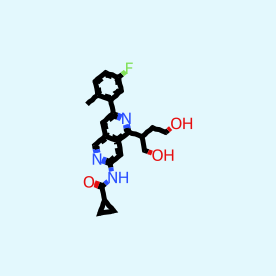 Cc1ccc(F)cc1-c1cc2cnc(NC(=O)C3CC3)cc2c(C(CO)CCO)n1